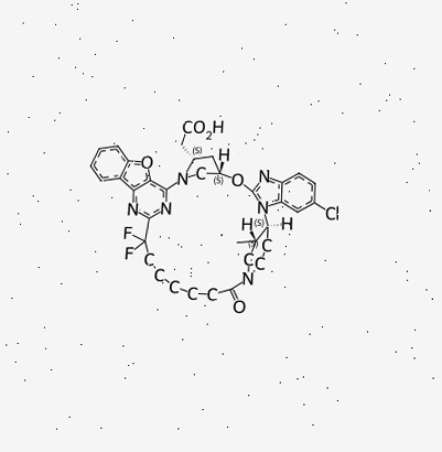 C[C@H]1CN2CC[C@@H]1n1c(nc3ccc(Cl)cc31)O[C@H]1C[C@@H](CC(=O)O)N(C1)c1nc(nc3c1oc1ccccc13)C(F)(F)CCCCCC2=O